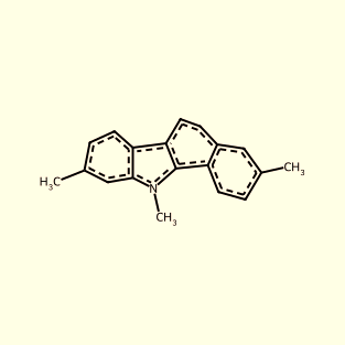 Cc1ccc2c(ccc3c4ccc(C)cc4n(C)c23)c1